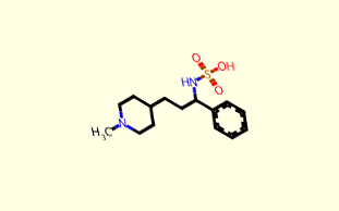 CN1CCC(CCC(NS(=O)(=O)O)c2ccccc2)CC1